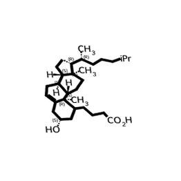 CC(C)CCC[C@@H](C)[C@H]1CC[C@H]2[C@@H]3CC=C4C[C@@H](O)CC(CCCC(=O)O)[C@]4(C)[C@H]3CC[C@]12C